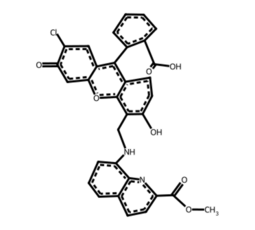 COC(=O)c1ccc2cccc(NCc3c(O)ccc4c(-c5ccccc5C(=O)O)c5cc(Cl)c(=O)cc-5oc34)c2n1